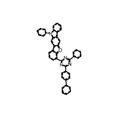 c1ccc(-c2ccc(-c3nc(-c4ccccc4)nc(-c4cccc5c4oc4cc6c7ccccc7n(-c7ccccc7)c6cc45)n3)cc2)cc1